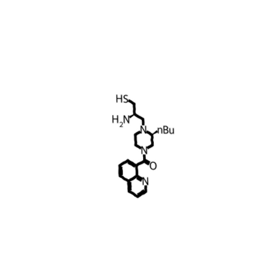 CCCC[C@H]1CN(C(=O)c2cccc3cccnc23)CCN1C[C@@H](N)CS